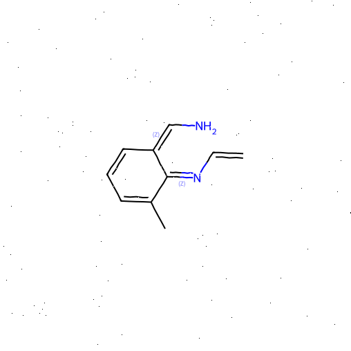 C=C/N=C1/C(C)=CC=C/C1=C/N